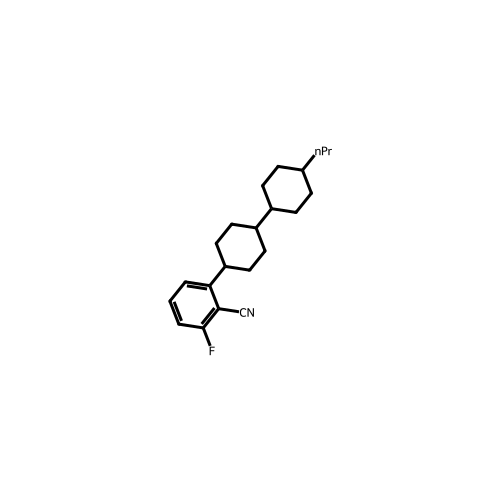 CCCC1CCC(C2CCC(c3cccc(F)c3C#N)CC2)CC1